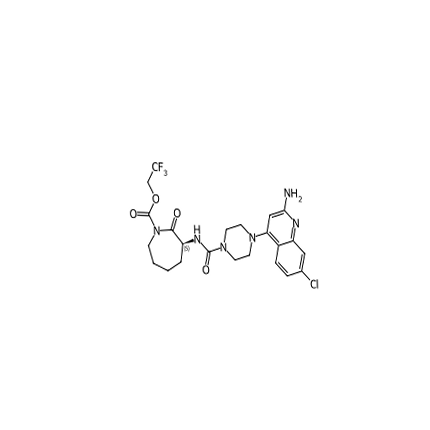 Nc1cc(N2CCN(C(=O)N[C@H]3CCCCN(C(=O)OCC(F)(F)F)C3=O)CC2)c2ccc(Cl)cc2n1